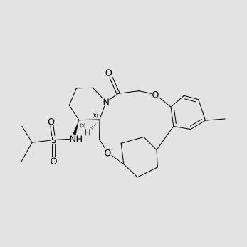 Cc1ccc2c(c1)C1CCC(CC1)OC[C@H]1[C@@H](NS(=O)(=O)C(C)C)CCCN1C(=O)CO2